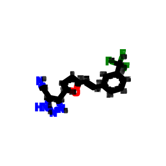 N#Cc1[nH]nnc1-c1ccc(/C=C/c2cccc(C(F)(F)F)c2)o1